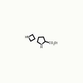 C1CNC1.CCOC(=O)C1CCCN1